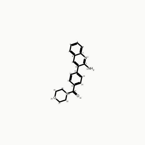 Nc1nc2ccccc2cc1-c1ccc(C(=O)N2CCOCC2)cc1